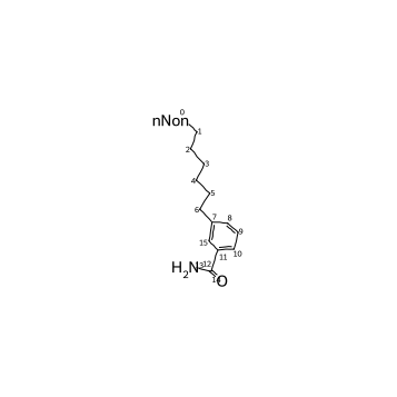 CCCCCCCCCCCCCCCc1cccc(C(N)=O)c1